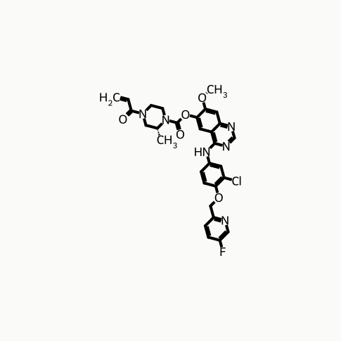 C=CC(=O)N1CCN(C(=O)Oc2cc3c(Nc4ccc(OCc5ccc(F)cn5)c(Cl)c4)ncnc3cc2OC)[C@H](C)C1